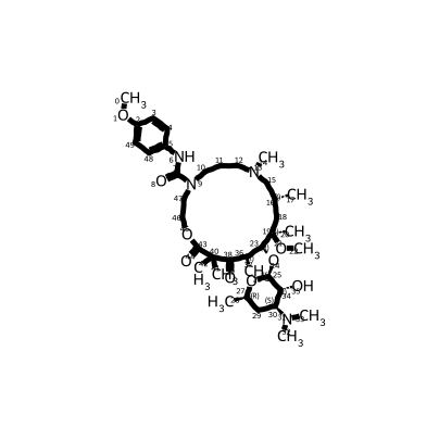 COc1ccc(NC(=O)N2CCCN(C)C[C@H](C)C[C@@](C)(OC)[C@H](O[C@@H]3O[C@H](C)C[C@H](N(C)C)[C@H]3O)[C@@H](C)C(=O)C(C)(C)C(=O)OCC2)cc1